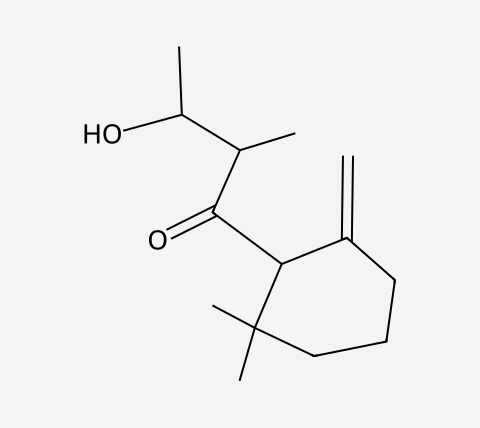 C=C1CCCC(C)(C)C1C(=O)C(C)C(C)O